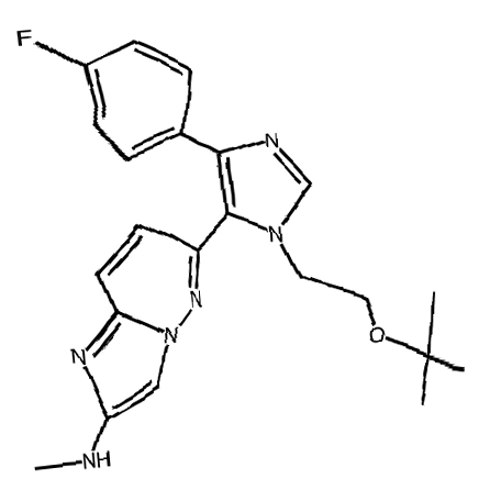 CNc1cn2nc(-c3c(-c4ccc(F)cc4)ncn3CCOC(C)(C)C)ccc2n1